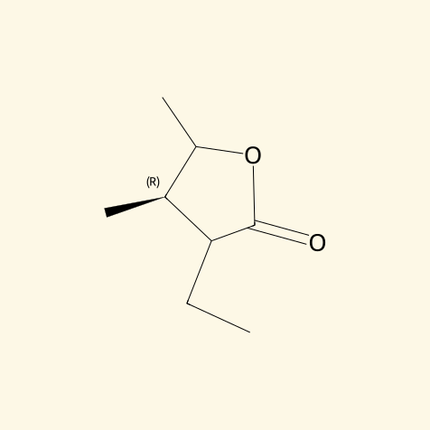 CCC1C(=O)OC(C)[C@@H]1C